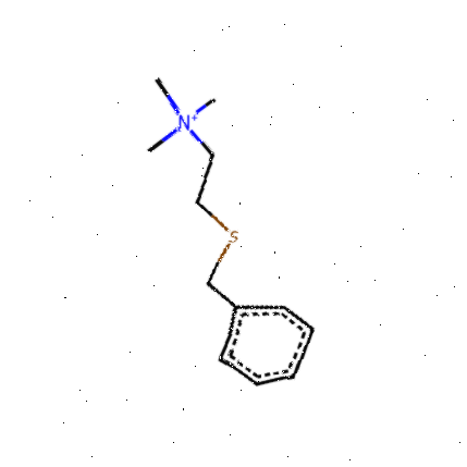 C[N+](C)(C)CCSCc1ccccc1